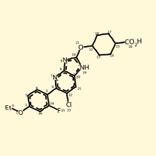 CCOc1ccc(-c2nc3nc(OC4CCC(C(=O)O)CC4)[nH]c3cc2Cl)c(F)c1